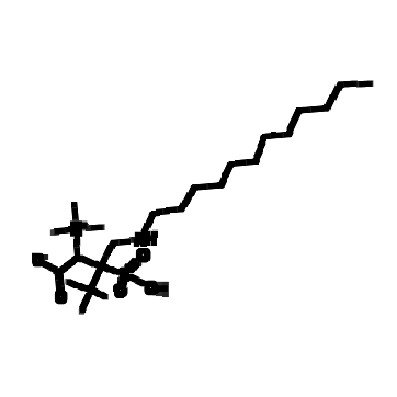 CCCCCCCCCCCCNCC(C(C(=O)[O-])[N+](C)(C)C)(C(C)(C)C)S(=O)(=O)O